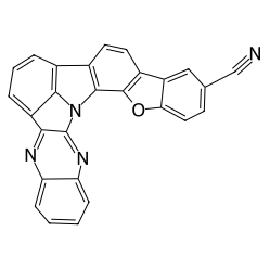 N#Cc1ccc2oc3c(ccc4c5cccc6c7nc8ccccc8nc7n(c56)c43)c2c1